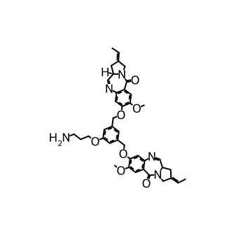 C/C=C1\CC2C=Nc3cc(OCc4cc(COc5cc6c(cc5OC)C(=O)N5C/C(=C/C)C[C@H]5C=N6)cc(OCCCN)c4)c(OC)cc3C(=O)N2C1